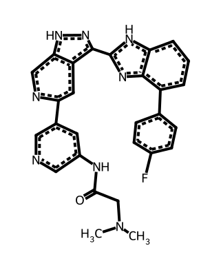 CN(C)CC(=O)Nc1cncc(-c2cc3c(-c4nc5c(-c6ccc(F)cc6)cccc5[nH]4)n[nH]c3cn2)c1